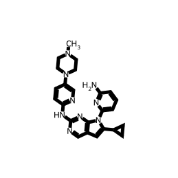 CN1CCN(c2ccc(Nc3ncc4cc(C5CC5)n(-c5cccc(N)n5)c4n3)nc2)CC1